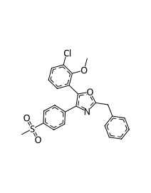 COc1c(Cl)cccc1-c1oc(Cc2ccccc2)nc1-c1ccc(S(C)(=O)=O)cc1